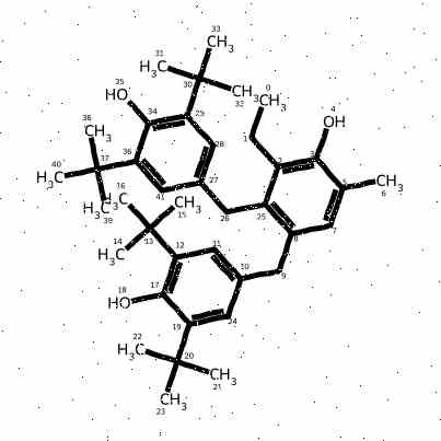 CCc1c(O)c(C)cc(Cc2cc(C(C)(C)C)c(O)c(C(C)(C)C)c2)c1Cc1cc(C(C)(C)C)c(O)c(C(C)(C)C)c1